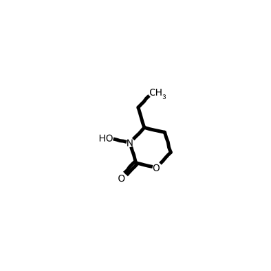 CCC1CCOC(=O)N1O